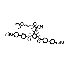 C=CC(=O)OCCCCOC(=O)C(C#N)=C1SC2C(OC(=O)C3CCC(C4CCC(CCCC)CC4)CC3)=CC=C(OC(=O)C3CCC(C4CCC(CCCC)CC4)CC3)C2S1